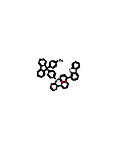 CC(C)(C)c1ccc(C2(c3ccc(N(c4ccc(-c5cccc6c5oc5ccccc56)cc4)c4ccccc4-c4ccccc4)cc3)c3ccccc3-c3ccccc32)cc1